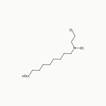 CCCCCCCCCCCCCCCCN(CC)CCCl